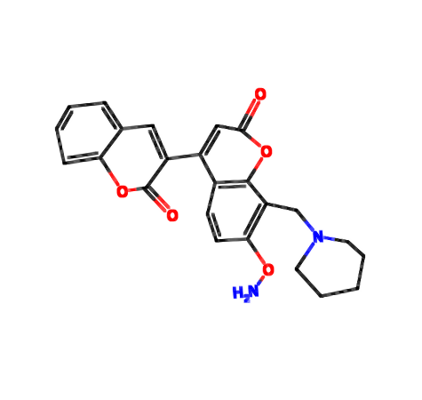 NOc1ccc2c(-c3cc4ccccc4oc3=O)cc(=O)oc2c1CN1CCCCC1